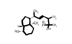 CC(/C=C/C(C)C(C)(C)O)[C@H]1CC[C@H]2[C@@H](O)CCC[C@]12C